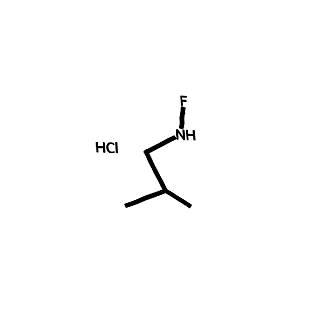 CC(C)CNF.Cl